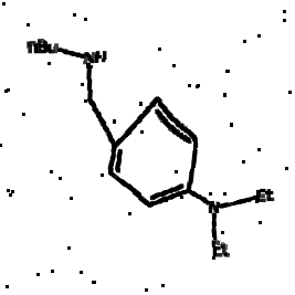 CCCCNCc1ccc(N(CC)CC)cc1